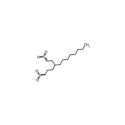 CCCCCCCCC(CC=S(=O)=O)CCC=S(=O)=O